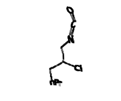 CCCCC(Cl)CN=C=O